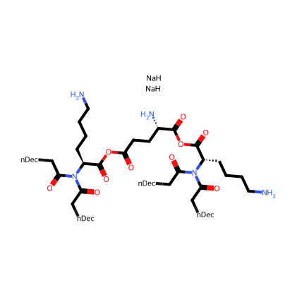 CCCCCCCCCCCC(=O)N(C(=O)CCCCCCCCCCC)[C@@H](CCCCN)C(=O)OC(=O)CC[C@H](N)C(=O)OC(=O)[C@H](CCCCN)N(C(=O)CCCCCCCCCCC)C(=O)CCCCCCCCCCC.[NaH].[NaH]